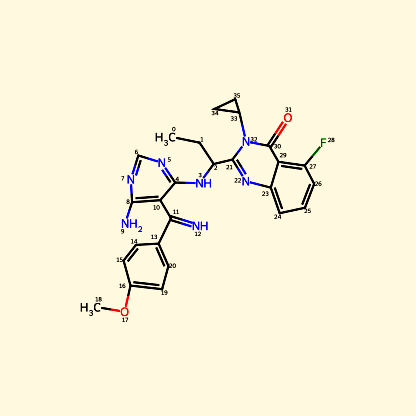 CCC(Nc1ncnc(N)c1C(=N)c1ccc(OC)cc1)c1nc2cccc(F)c2c(=O)n1C1CC1